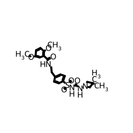 COc1ccc(OC)c(C(=O)NCCc2ccc(S(=O)(=O)NC(=O)NN3CC(C)(C)C3)cc2)c1